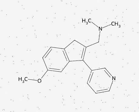 COc1ccc2c(c1)C(c1cccnc1)=C(CN(C)C)C2